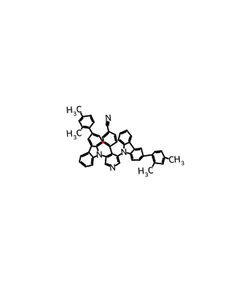 Cc1ccc(-c2ccc3c(c2)c2ccccc2n3-c2cncc(-n3c4ccccc4c4cc(-c5ccc(C)cc5C)ccc43)c2-c2ccc(C#N)cc2)c(C)c1